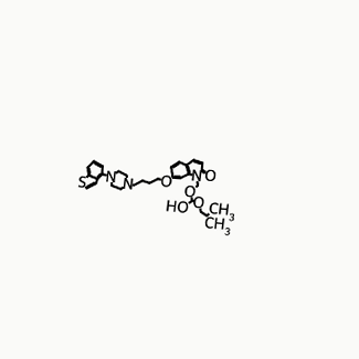 CC(C)COC(O)OCn1c(=O)ccc2ccc(OCCCCN3CCN(c4cccc5sccc45)CC3)cc21